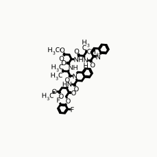 COC(=O)CC(NC(=O)C1Cc2ccccc2CN1C(=O)C(NC(=O)C(CC(=O)OC)NC(=O)C(NC(=O)c1ccc2ccccc2n1)C(C)C)C(C)C)C(=O)COc1c(F)cccc1F